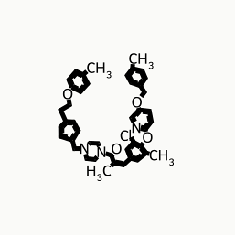 CC(=Cc1cc(C)c(Oc2ccc(OCc3ccc(C)cc3)cn2)c(Cl)c1)C(=O)N1CCN(Cc2ccc(CCOc3ccc(C)cc3)cc2)CC1